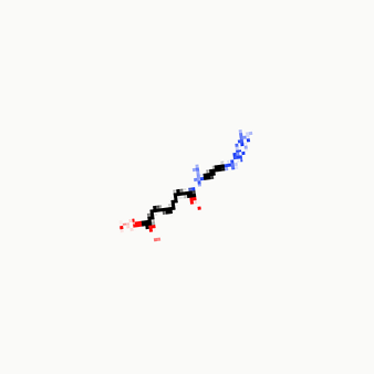 [N-]=[N+]=NCCNC(=O)CCCC(=O)O